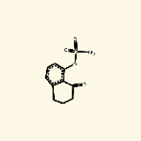 O=C1CCCc2cccc(OS(=O)(=O)C(F)(F)F)c21